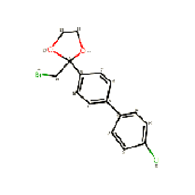 Clc1ccc(-c2ccc(C3(CBr)OCCO3)cc2)cc1